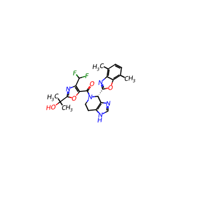 Cc1ccc(C)c2oc([C@@H]3c4nc[nH]c4CCN3C(=O)c3oc(C(C)(C)O)nc3C(F)F)nc12